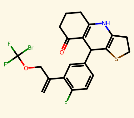 C=C(COC(F)(F)Br)c1cc(C2C3=C(CCS3)NC3=C2C(=O)CCC3)ccc1F